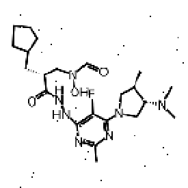 Cc1nc(NNC(=O)[C@H](CC2CCCC2)CN(O)C=O)c(F)c(N2C[C@@H](C)[C@H](N(C)C)C2)n1